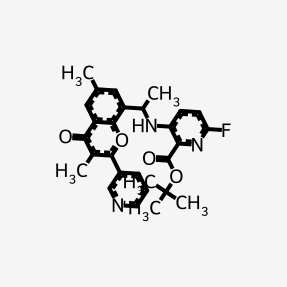 Cc1cc(C(C)Nc2ccc(F)nc2C(=O)OC(C)(C)C)c2oc(-c3cccnc3)c(C)c(=O)c2c1